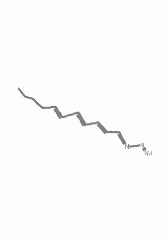 CCCCC=CC=CC=C/C=N/N=N